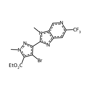 CCOC(=O)c1c(Br)c(-c2nc3cc(C(F)(F)F)ncc3n2C)nn1C